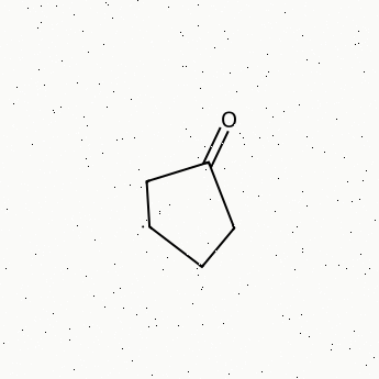 O=C1C[CH]CC1